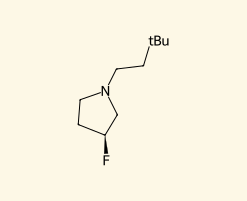 CC(C)(C)CCN1CC[C@H](F)C1